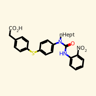 CCCCCCCN(C(=O)Nc1ccccc1[N+](=O)[O-])c1ccc(Sc2ccc(CC(=O)O)cc2)cc1